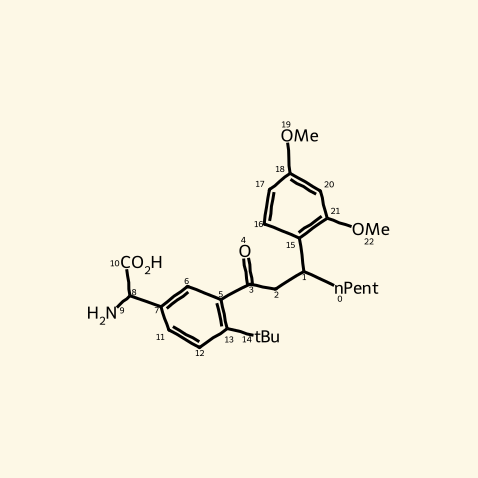 CCCCCC(CC(=O)c1cc(C(N)C(=O)O)ccc1C(C)(C)C)c1ccc(OC)cc1OC